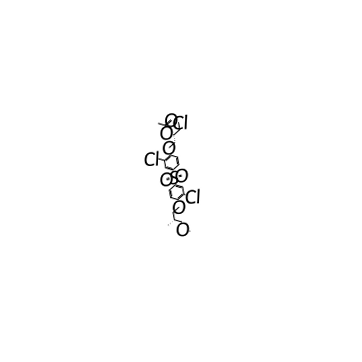 COC[C@H](C)COc1ccc(S(=O)(=O)c2ccc(OC[C@@H](CCl)OC(C)=O)c(Cl)c2)cc1Cl